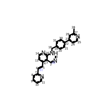 C/N=C\c1c(/C=C/c2ccccn2)ccnc1NCc1ccc(-c2ccnc(C)c2)cc1